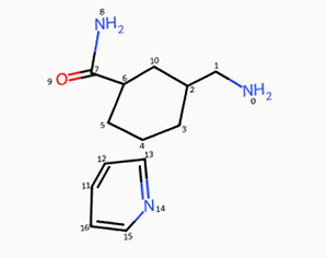 NCC1CCCC(C(N)=O)C1.c1ccncc1